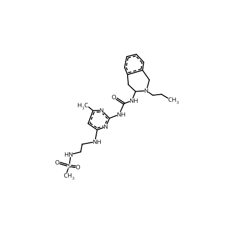 CCCN1Cc2ccccc2CC1NC(=O)Nc1nc(C)cc(NCCNS(C)(=O)=O)n1